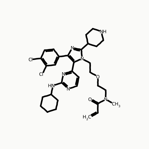 C=CC(=O)N(C)CCOCCn1c(C2CCNCC2)nc(-c2ccc(Cl)c(Cl)c2)c1-c1ccnc(NC2CCCCC2)n1